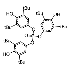 CC(C)(C)c1cc(OP(=O)(Oc2cc(C(C)(C)C)c(O)c(C(C)(C)C)c2)Oc2cc(C(C)(C)C)c(O)c(C(C)(C)C)c2)cc(C(C)(C)C)c1O